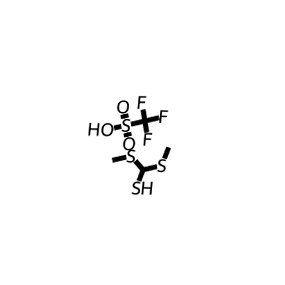 CSC(S)SC.O=S(=O)(O)C(F)(F)F